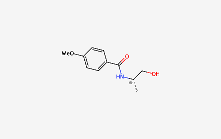 COc1ccc(C(=O)N[C@@H](C)CO)cc1